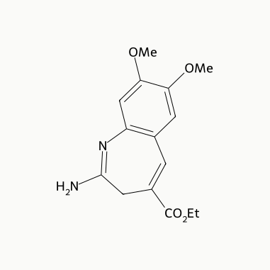 CCOC(=O)C1=Cc2cc(OC)c(OC)cc2N=C(N)C1